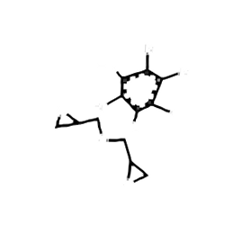 C(OCC1CO1)C1CO1.Oc1c(Br)c(Br)c(O)c(Br)c1Br